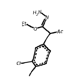 CCOC(=NN)C(C(C)=O)c1ccc(C)c(Cl)c1